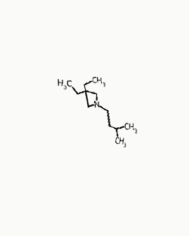 CCC1(CC)CN(CCC(C)C)C1